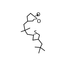 CC(C)(C)CC1CSC(CC(C)(C)CC2CCS(=O)(=O)C2)C1